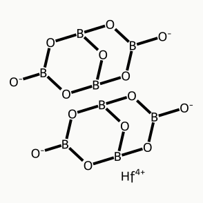 [Hf+4].[O-]B1OB2OB([O-])OB(O1)O2.[O-]B1OB2OB([O-])OB(O1)O2